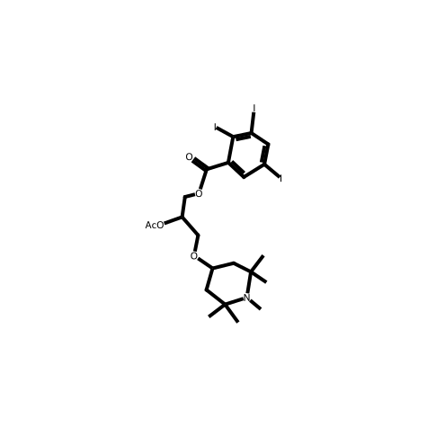 CC(=O)OC(COC(=O)c1cc(I)cc(I)c1I)COC1CC(C)(C)N(C)C(C)(C)C1